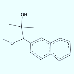 COC(c1ccc2ccccc2c1)C(C)(C)O